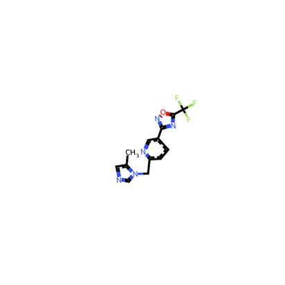 Cc1cncn1Cc1ccc(-c2noc(C(F)(F)F)n2)cn1